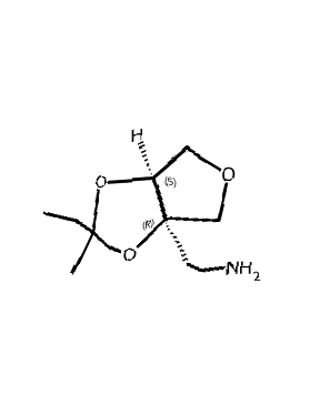 CC1(C)O[C@H]2COC[C@@]2(CN)O1